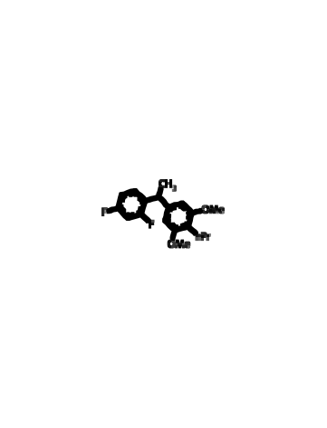 CCCc1c(OC)cc(C(C)c2ccc(F)cc2F)cc1OC